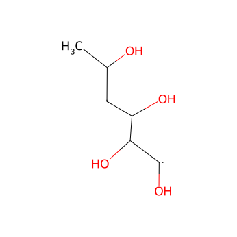 CC(O)CC(O)C(O)[CH]O